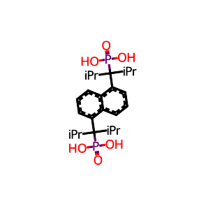 CC(C)C(c1cccc2c(C(C(C)C)(C(C)C)P(=O)(O)O)cccc12)(C(C)C)P(=O)(O)O